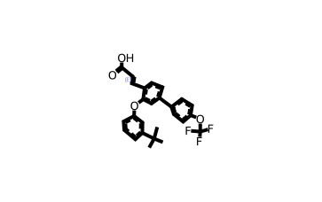 CC(C)(C)c1cccc(Oc2cc(-c3ccc(OC(F)(F)F)cc3)ccc2/C=C/C(=O)O)c1